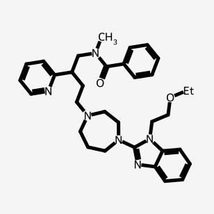 CCOCCn1c(N2CCCN(CCC(CN(C)C(=O)c3ccccc3)c3ccccn3)CC2)nc2ccccc21